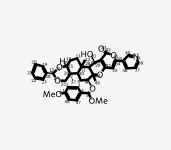 COc1ccc(C(OC)O[C@H]2CC3C(C)(CC[C@@H]4O[C@H](c5ccccc5)OC[C@]34C)C3[C@@H](O)c4c(cc(-c5cccnc5)oc4=O)OC32C)cc1